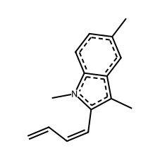 C=C/C=C\c1c(C)c2cc(C)ccc2n1C